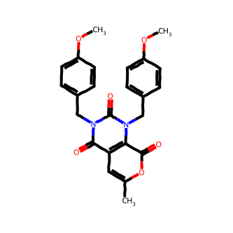 COc1ccc(Cn2c(=O)c3cc(C)oc(=O)c3n(Cc3ccc(OC)cc3)c2=O)cc1